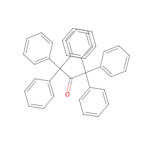 O=C(C(c1ccccc1)(c1ccccc1)c1ccccc1)C(c1ccccc1)(c1ccccc1)c1ccccc1